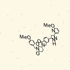 COc1ccc(CN2C(=O)CCC(N3Cc4cc(C5CC(c6cccc(OC)n6)=NN5)ccc4C3=O)C2=O)cc1